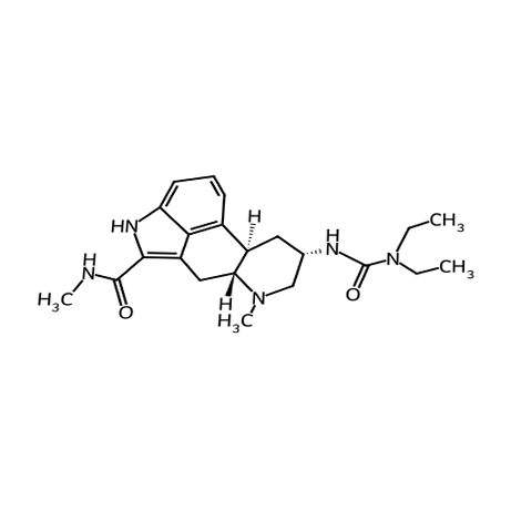 CCN(CC)C(=O)N[C@H]1C[C@@H]2c3cccc4[nH]c(C(=O)NC)c(c34)C[C@H]2N(C)C1